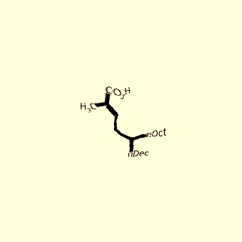 CCCCCCCCCCC(CC=C(C)C(=O)O)CCCCCCCC